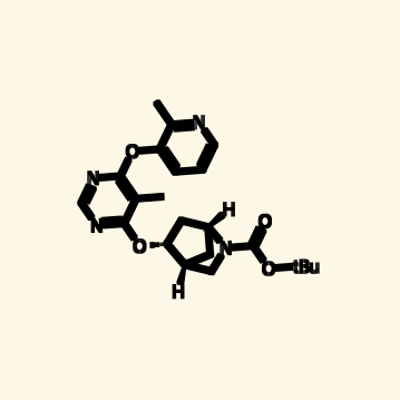 Cc1ncccc1Oc1ncnc(O[C@@H]2C[C@H]3C[C@@H]2CN3C(=O)OC(C)(C)C)c1C